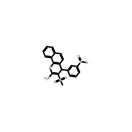 CS(=O)(=O)C1=C(N)Oc2c(ccc3ccccc23)C1c1cccc([N+](=O)[O-])c1